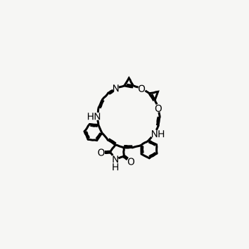 O=C1NC(=O)c2cc3ccccc3[nH]ccoc3c(oc4c(nccc[nH]c5ccccc5cc21)C4)C3